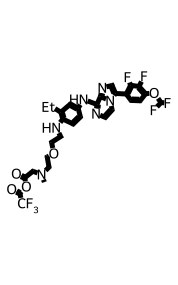 CCc1cc(Nc2nccn3c(-c4ccc(OC(F)F)c(F)c4F)cnc23)ccc1NCCOCCN(C)CC(=O)OC(=O)C(F)(F)F